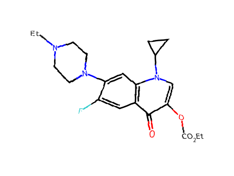 CCOC(=O)Oc1cn(C2CC2)c2cc(N3CCN(CC)CC3)c(F)cc2c1=O